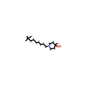 CC(C)(C)CCCCCCCN1CCC(C)(O)CC1